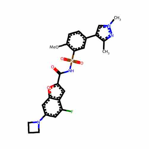 COc1ccc(-c2cn(C)nc2C)cc1S(=O)(=O)NC(=O)c1cc2c(F)cc(N3CCC3)cc2o1